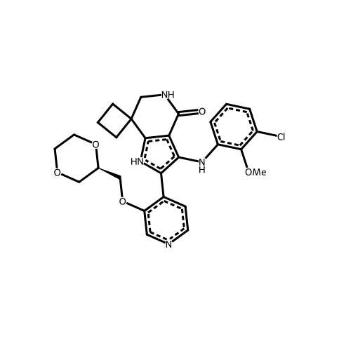 COc1c(Cl)cccc1Nc1c(-c2ccncc2OC[C@H]2COCCO2)[nH]c2c1C(=O)NCC21CCC1